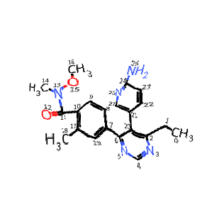 CCc1ncnc(-c2ccc(C(=O)N(C)OC)c(C)c2)c1-c1ccc(N)nc1